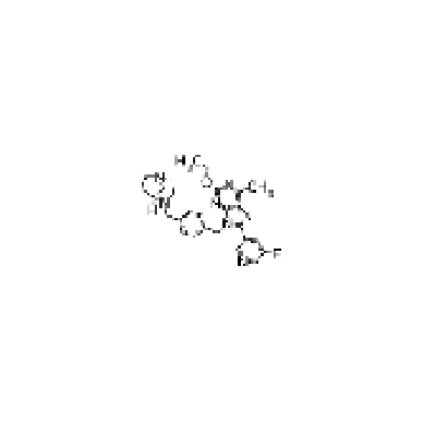 CCOc1nc(C)c2nc(-c3cncc(F)c3)n(Cc3ccc(CN4CCN5CC[C@H]4C5)cc3)c2n1